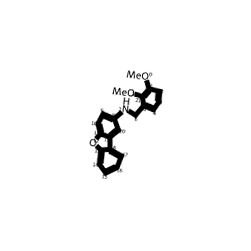 COc1cccc(CNc2ccc3oc4ccccc4c3c2)c1OC